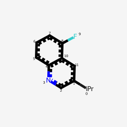 CC(C)c1cnc2cccc(F)c2c1